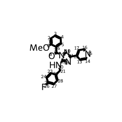 COc1ccccc1C(=O)n1nc(-c2ccncc2)nc1NCc1ccc(F)cc1